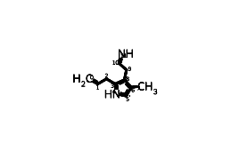 C=CCc1[nH][c]c(C)c1CC=N